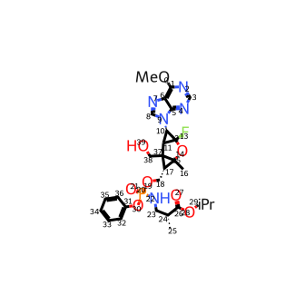 COc1ncnc2c1ncn2[C@H]1C2C1(F)OC1(C)[C@H](COP(=O)(NC[C@@H](C)C(=O)OC(C)C)Oc3ccccc3)C21CO